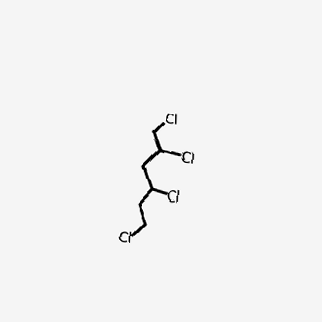 ClCCC(Cl)CC(Cl)CCl